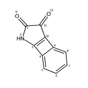 O=c1[nH]c2c3ccccc3c=2c1=O